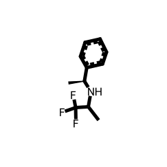 CC(N[C@@H](C)c1ccccc1)C(F)(F)F